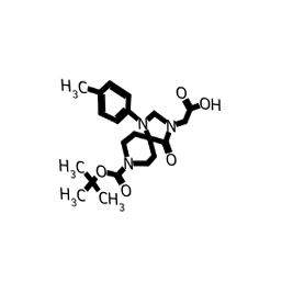 Cc1ccc(N2CN(CC(=O)O)C(=O)C23CCN(C(=O)OC(C)(C)C)CC3)cc1